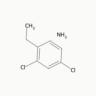 CCc1ccc(Cl)cc1Cl.N